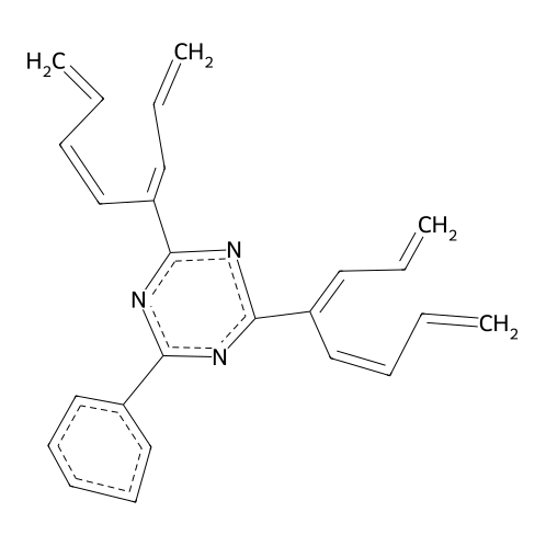 C=C/C=C\C(=C/C=C)c1nc(C(/C=C\C=C)=C/C=C)nc(-c2ccccc2)n1